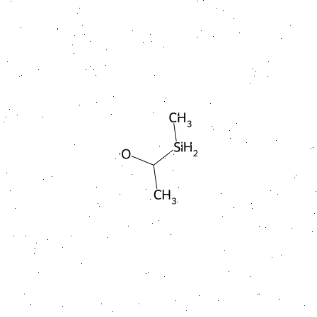 C[SiH2]C(C)[O]